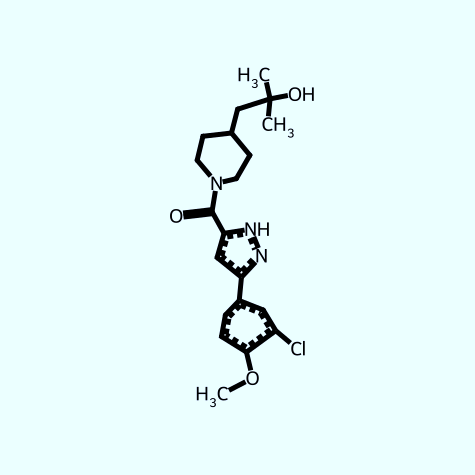 COc1ccc(-c2cc(C(=O)N3CCC(CC(C)(C)O)CC3)[nH]n2)cc1Cl